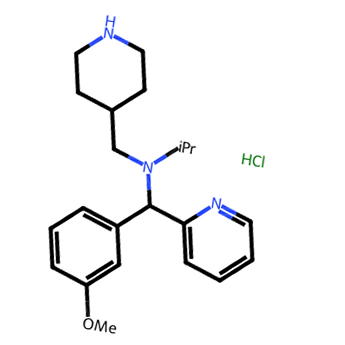 COc1cccc(C(c2ccccn2)N(CC2CCNCC2)C(C)C)c1.Cl